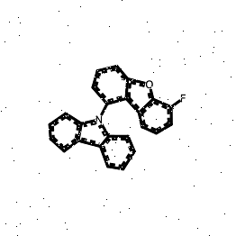 Fc1cccc2c1oc1cccc(-n3c4ccccc4c4ccccc43)c12